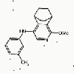 COc1ncc(Nc2cccc(C)c2)c2c1C1CCC2CC1